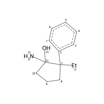 CCC1(c2ccccc2)CCCC1(N)O